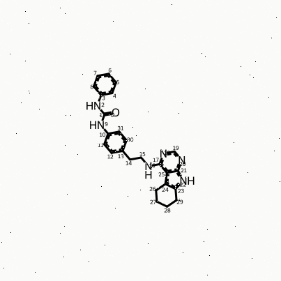 O=C(Nc1ccccc1)Nc1ccc(CCNc2ncnc3[nH]c4c(c23)CCCC4)cc1